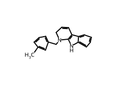 Cc1cccc(CN2CC=Cc3c2[nH]c2ccccc32)c1